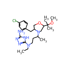 CCN(CCC(C)N1CC(C(C)(C)OC)OCC1Cc1ccc(Cl)cc1)c1nnc(N)[nH]1